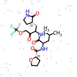 CC(C)CC(NC(=O)[C@@H]1CCCO1)C(=O)NC(C[C@@H]1CCNC1=O)C(=O)COC(F)(F)F